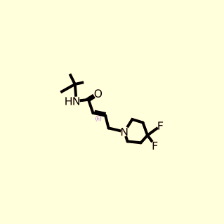 CC(C)(C)NC(=O)/C=C/CN1CCC(F)(F)CC1